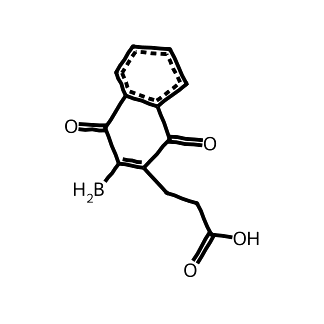 BC1=C(CCC(=O)O)C(=O)c2ccccc2C1=O